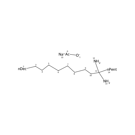 CC(=O)[O-].CCCCCCCCCCCCCCCCCCC(N)(N)CCCCC.[Na+]